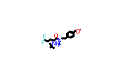 COCc1ccc(CCNC(=O)C(CCC(F)F)NC(C)(C)C)cc1